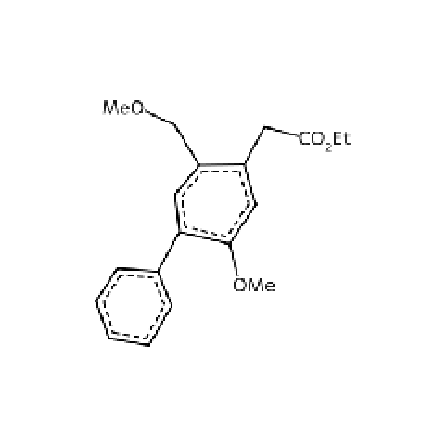 CCOC(=O)Cc1cc(OC)c(-c2ccccc2)cc1COC